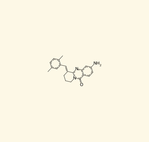 Cc1ccc(C)c(C=C2CCCn3c2nc2cc(N)ccc2c3=O)c1